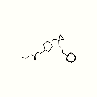 CCOC(=O)CCC1CCN(CC2(COCc3ccccc3)CC2)CC1